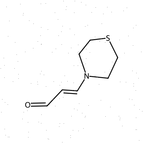 O=CC=CN1CCSCC1